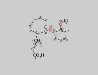 C=CC(=O)O.CC1CCCCCCC1.CCOc1ccccc1O